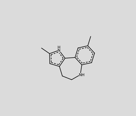 Cc1ccc2c(c1)-c1[nH]c(C)cc1CCN2